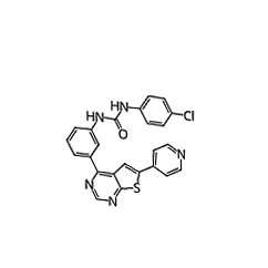 O=C(Nc1ccc(Cl)cc1)Nc1cccc(-c2ncnc3sc(-c4ccncc4)cc23)c1